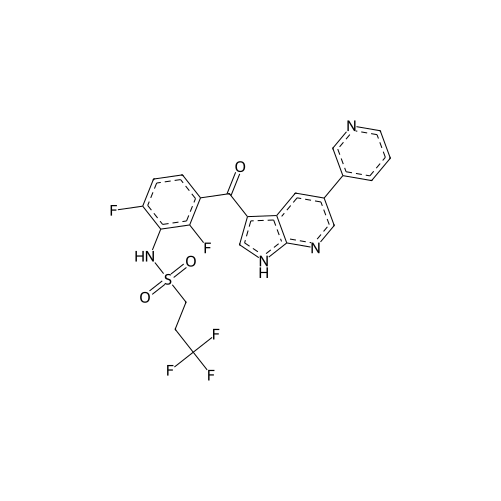 O=C(c1ccc(F)c(NS(=O)(=O)CCC(F)(F)F)c1F)c1c[nH]c2ncc(-c3cccnc3)cc12